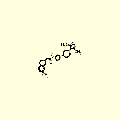 Cc1noc(C)c1N1CCCC(N2CC[C@@H](NC(=O)CN3CCc4ccc(C(F)(F)F)cc4C3)C2)CC1